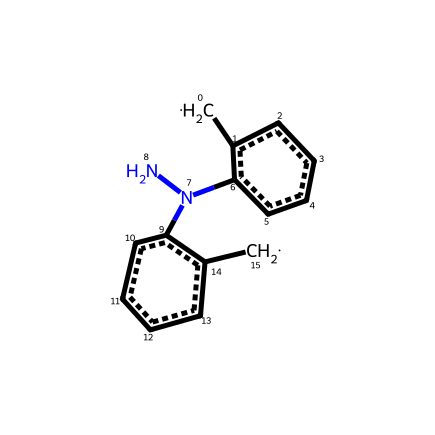 [CH2]c1ccccc1N(N)c1ccccc1[CH2]